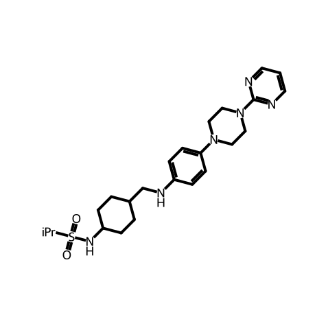 CC(C)S(=O)(=O)NC1CCC(CNc2ccc(N3CCN(c4ncccn4)CC3)cc2)CC1